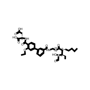 CCCCC[C@@H](C(=O)NCNC(=O)c1cccc(-c2ccc(C(=O)N[C@@H](CC(=O)O)C(=O)O)c(OCC)c2)c1)[C@@H](CC)N(O)C=O